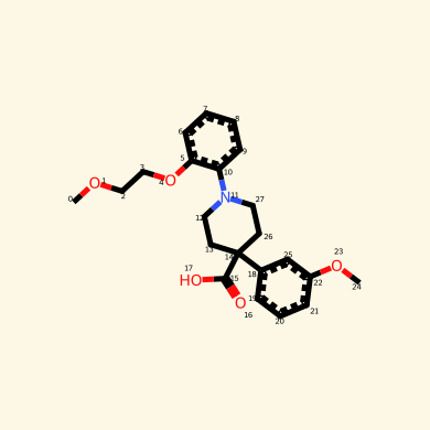 COCCOc1ccccc1N1CCC(C(=O)O)(c2cccc(OC)c2)CC1